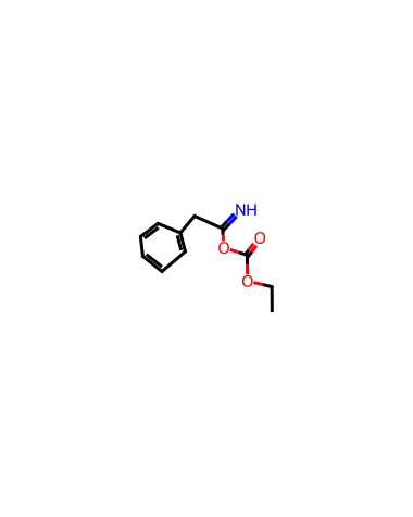 CCOC(=O)OC(=N)Cc1ccccc1